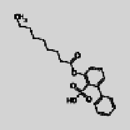 CCCCCCCCC(=O)Oc1cccc(-c2ccccc2)c1S(=O)(=O)O